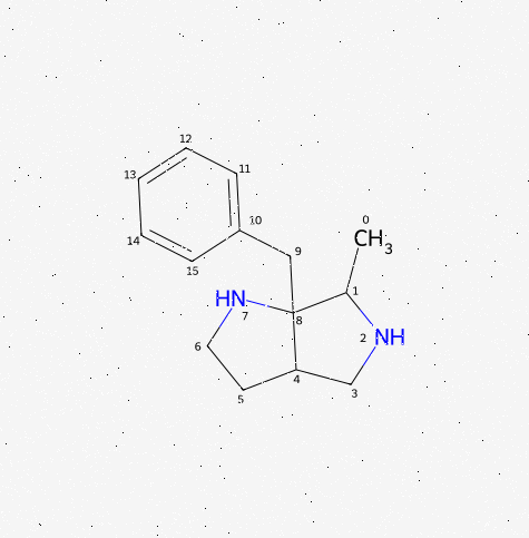 CC1NCC2CCNC21Cc1ccccc1